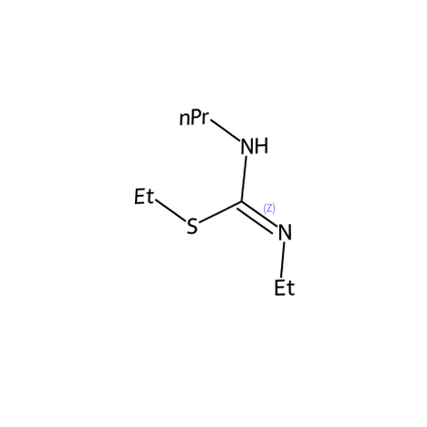 CCCN/C(=N/CC)SCC